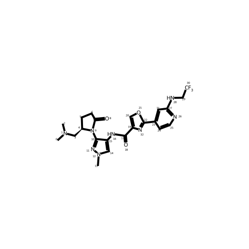 CN(C)C[C@H]1CCC(=O)N1c1nn(C)cc1NC(=O)c1coc(-c2ccnc(NCC(F)(F)F)c2)n1